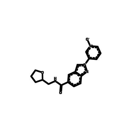 O=C(NCC1CCCO1)c1ccc2nn(-c3ccc[n+]([O-])c3)cc2c1